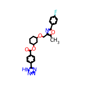 Cc1oc(-c2ccc(F)cc2)nc1COC1CCCC(OC(=O)c2ccc(-c3nnn[nH]3)cc2)C1